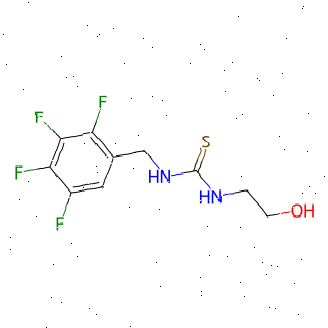 OCCNC(=S)NCc1cc(F)c(F)c(F)c1F